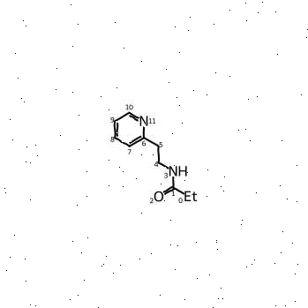 CCC(=O)NCCc1ccccn1